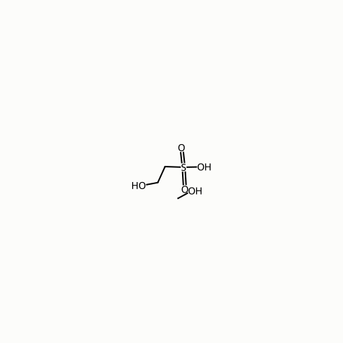 CO.O=S(=O)(O)CCO